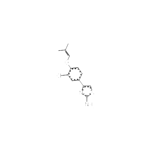 CC(C)=COc1ccc(-c2csc(N)n2)cc1Cl